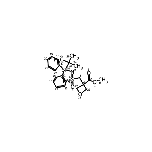 COC(=O)C1(CS(N)(=O)=N[Si](c2ccccc2)(c2ccccc2)C(C)(C)C)COC1